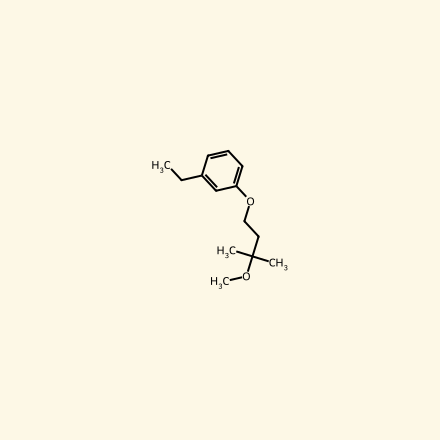 CCc1cccc(OCCC(C)(C)OC)c1